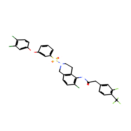 O=C(Cc1ccc(C(F)(F)F)c(F)c1)Nc1c(Cl)ccc2c1CCN(S(=O)(=O)c1cccc(Oc3ccc(Cl)c(Cl)c3)c1)C2